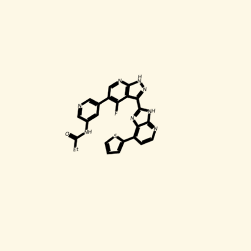 CCC(=O)Nc1cncc(-c2cnc3[nH]nc(-c4nc5c(-c6cccs6)ccnc5[nH]4)c3c2F)c1